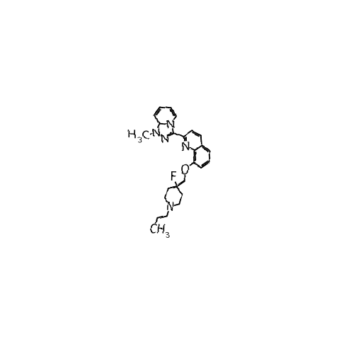 CCCN1CCC(F)(COc2cccc3ccc(C4=NN(C)C5C=CC=CN45)nc23)CC1